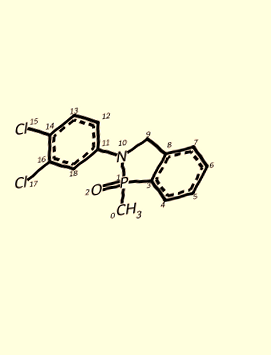 CP1(=O)c2ccccc2CN1c1ccc(Cl)c(Cl)c1